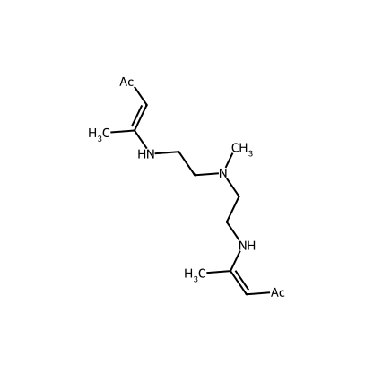 CC(=O)C=C(C)NCCN(C)CCNC(C)=CC(C)=O